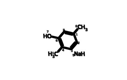 Cc1ccc(C)c(O)c1.[NaH]